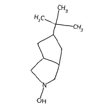 CC(C)(C)C1CC2CN(O)CC2C1